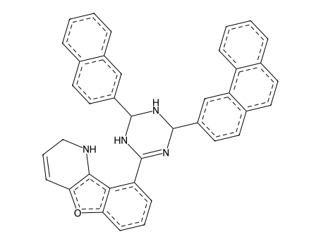 C1=Cc2oc3cccc(C4=NC(c5ccc6ccc7ccccc7c6c5)NC(c5ccc6ccccc6c5)N4)c3c2NC1